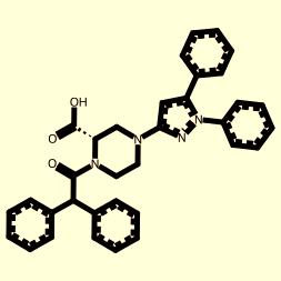 O=C(O)[C@@H]1CN(c2cc(-c3ccccc3)n(-c3ccccc3)n2)CCN1C(=O)C(c1ccccc1)c1ccccc1